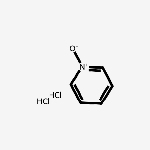 Cl.Cl.[O-][n+]1ccccc1